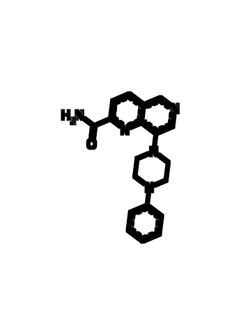 NC(=O)c1ccc2cncc(N3CCN(c4ccccc4)CC3)c2n1